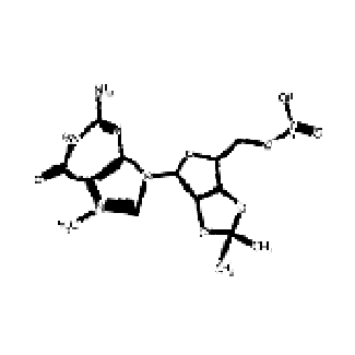 C[n+]1cn(C2OC(CO[PH](=O)O)C3OC(C)(C)OC32)c2nc(N)[nH]c(=O)c21